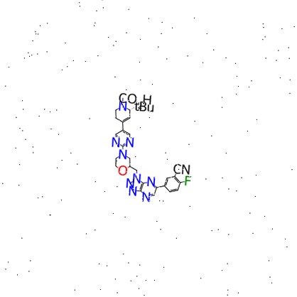 CC(C)(C)[C@@H]1C=C(c2cnc(N3CCOC(Cn4nnc5ncc(-c6ccc(F)c(C#N)c6)nc54)C3)nc2)CCN1C(=O)O